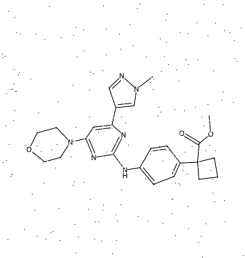 COC(=O)C1(c2ccc(Nc3nc(-c4cnn(C)c4)cc(N4CCOCC4)n3)cc2)CCC1